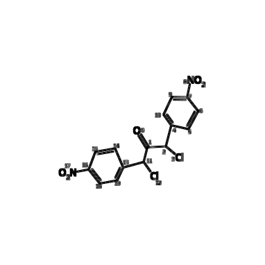 O=C(C(Cl)c1ccc([N+](=O)[O-])cc1)C(Cl)c1ccc([N+](=O)[O-])cc1